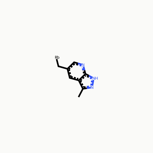 Cc1n[nH]c2ncc([CH2][Rb])cc12